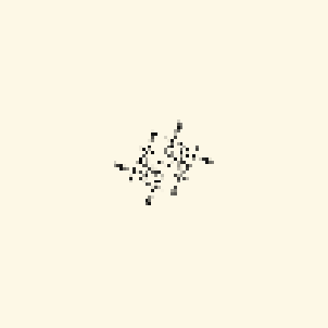 C#CC(C)(C)O[Si](CC[Si](OC(C)(C)C#C)(OC(C)(C)C#C)OC(C)(C)C#C)(OC(C)(C)C#C)OC(C)(C)C#C